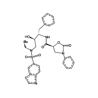 CC[C@H](C)CN(C[C@@H](O)[C@H](Cc1ccccc1)NC(=O)[C@@H]1CN(c2ccccc2)C(=O)O1)S(=O)(=O)c1ccc2ncsc2c1